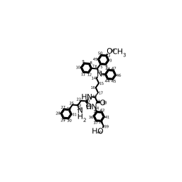 COc1ccc(C(c2ccccc2)N(CCCC[C@H](NC(=O)C[C@@H](N)Cc2ccccc2)C(=O)Nc2ccc(CO)cc2)c2ccccc2)cc1